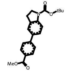 COC(=O)c1ccc(-c2ccc3c(c2)CCN3C(=O)OC(C)(C)C)cc1